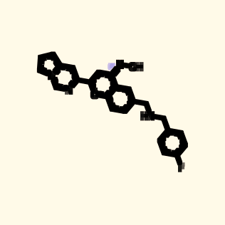 O/N=c1/cc(-c2cc3cccn3cn2)oc2ccc(CNCc3ccc(F)cc3)cc12